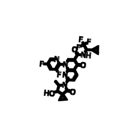 CC1C(O)C2(CC2)C(=O)N1c1ccc2c(=O)c(C(=O)NC(C3CC3)C(F)(F)F)cn(-c3ncc(F)cc3F)c2n1